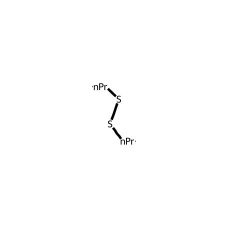 CC[CH]SS[CH]CC